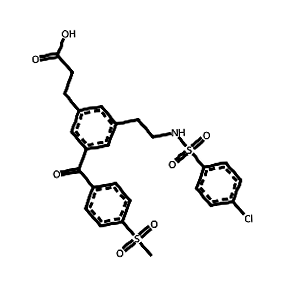 CS(=O)(=O)c1ccc(C(=O)c2cc(CCNS(=O)(=O)c3ccc(Cl)cc3)cc(CCC(=O)O)c2)cc1